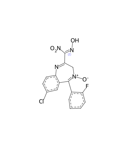 O=[N+]([O-])/C(=N\O)C1=Nc2ccc(Cl)cc2C(c2ccccc2F)=[N+]([O-])C1